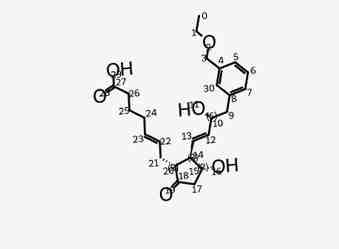 CCOCc1cccc(C[C@H](O)C=C[C@H]2[C@H](O)CC(=O)[C@@H]2CC=CCCCC(=O)O)c1